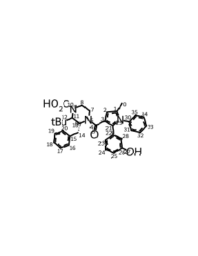 Cc1cc(C(=O)N2CCN(C(=O)O)C(C(C)(C)C)[C@H]2Cc2ccccc2)c(-c2cccc(O)c2)n1-c1ccccc1